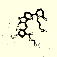 CCCCn1c(-c2ccc3c(n2)/C(=C/c2[nH]c(C)cc2C(=O)OCC)C(=O)N3)cccc1=O